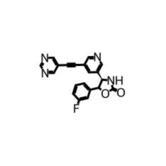 O=C1N[C@H](c2cncc(C#Cc3cncnc3)c2)C(c2cccc(F)c2)O1